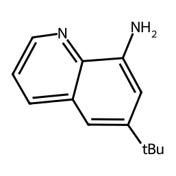 CC(C)(C)c1cc(N)c2ncccc2c1